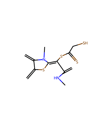 C=C1S/C(=C(/SC(=S)CS)C(=C)NC)N(C)C1=C